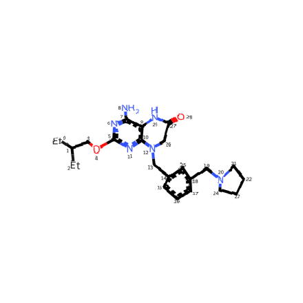 CCC(CC)COc1nc(N)c2c(n1)N(Cc1cccc(CN3CCCC3)c1)CC(=O)N2